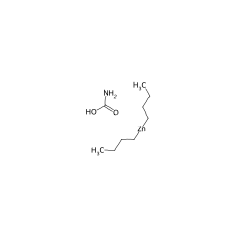 CCC[CH2][Zn][CH2]CCC.NC(=O)O